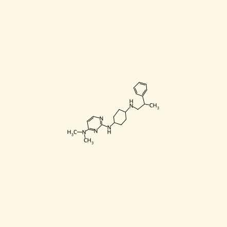 CC(CNC1CCC(Nc2nccc(N(C)C)n2)CC1)c1ccccc1